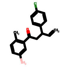 Bc1ccc(C)c(C(=O)CC(C=C)c2ccc(Cl)cc2)c1